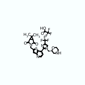 CC1(C)C2C(=O)N(Cc3cc4nccc(-c5nc(C(F)(F)F)cn5C[C@@H]5CNCCO5)c4s3)C(=O)C21.O=C(O)C(F)(F)F